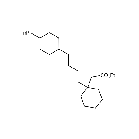 CCCC1CCC(CCCCC2(CC(=O)OCC)CCCCC2)CC1